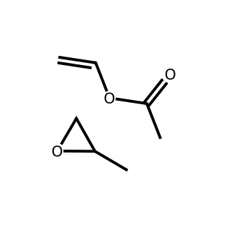 C=COC(C)=O.CC1CO1